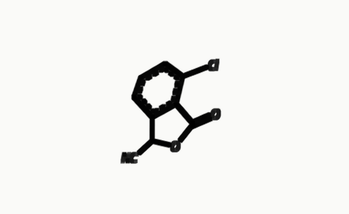 N#CC1OC(=O)c2c(Cl)cccc21